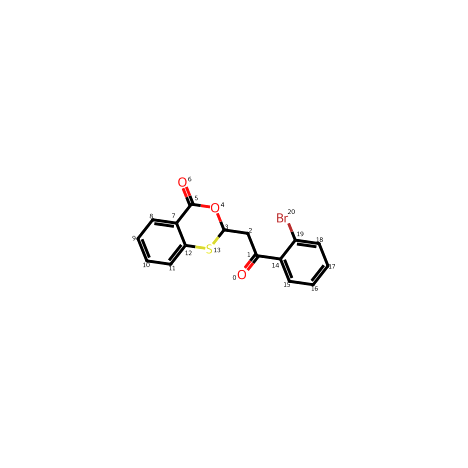 O=C(CC1OC(=O)c2ccccc2S1)c1ccccc1Br